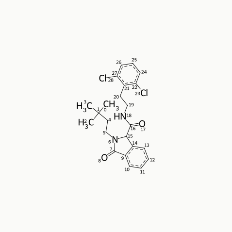 CC(C)(C)CCN1C(=O)c2ccccc2C1C(=O)NCCc1c(Cl)cccc1Cl